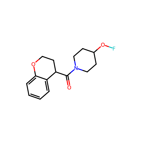 O=C(C1CCOc2ccccc21)N1CCC(OF)CC1